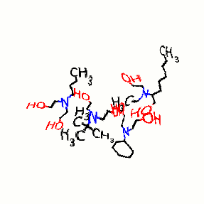 CC(C)(C)N(CCO)CCO.CCCCCCC(CO)N(CC)CCO.CCCCN(CCO)CCO.OCCN(CCO)C1CCCCC1